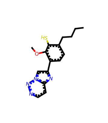 CCCCc1ccc(-c2cn3nnccc3n2)c(OC)c1S